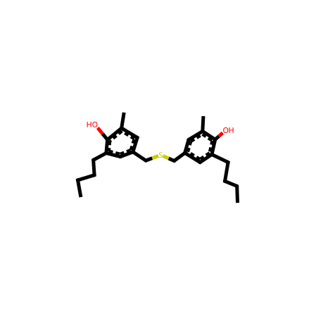 CCCCc1cc(CSCc2cc(C)c(O)c(CCCC)c2)cc(C)c1O